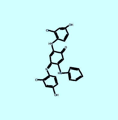 O=C1C=C(Nc2ccccc2)/C(=N\c2ccc(O)cc2Cl)C=C1Nc1ccc(O)cc1Cl